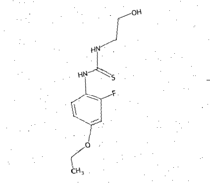 CCOc1ccc(NC(=S)NCCO)c(F)c1